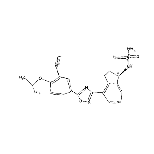 [C-]#[N+]c1cc(-c2nc(-c3cccc4c3CC[C@H]4NS(N)(=O)=O)no2)ccc1OC(C)C